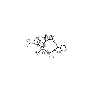 CO[C@]1(C)C[C@@H](C)CN(C)C(C2CCCCC2)COC(=O)C(C)(C)C(=O)[C@H](C)[C@H]1O[C@H]1C[C@@H](N(C)C)C[C@@H](C)O1